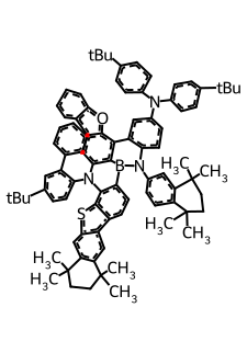 CC(C)(C)c1ccc(N(c2ccc(C(C)(C)C)cc2)c2ccc3c(c2)-c2c4c(cc5c2oc2ccccc25)N(c2ccc(C(C)(C)C)cc2-c2ccccc2)c2c(ccc5c2sc2cc6c(cc25)C(C)(C)CCC6(C)C)B4N3c2ccc3c(c2)C(C)(C)CCC3(C)C)cc1